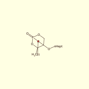 CCCCCCCOC12COP(=O)(OC1C)OC2CC